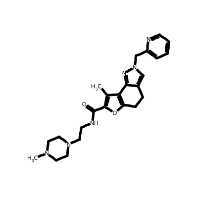 Cc1c(C(=O)NCCN2CCN(C)CC2)oc2c1-c1nn(Cc3ccccn3)cc1CC2